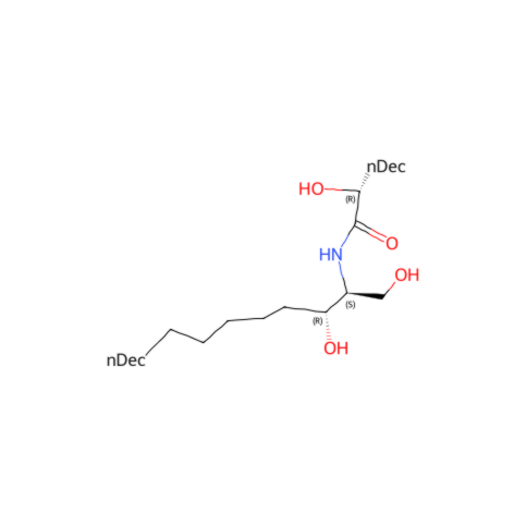 CCCCCCCCCCCCCCC[C@@H](O)[C@H](CO)NC(=O)[C@H](O)CCCCCCCCCC